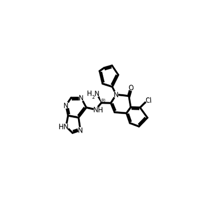 N[C@H](Nc1ncnc2[nH]cnc12)c1cc2cccc(Cl)c2c(=O)n1-c1ccccc1